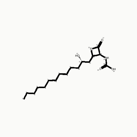 CCCCCCCCCCC[C@H](O)CC1OC(=O)C1NC(=O)O